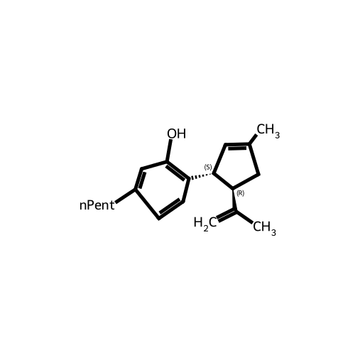 C=C(C)[C@@H]1CC(C)=C[C@H]1c1ccc(CCCCC)cc1O